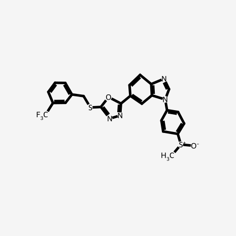 C[S+]([O-])c1ccc(-n2cnc3ccc(-c4nnc(SCc5cccc(C(F)(F)F)c5)o4)cc32)cc1